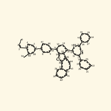 C/C=C\c1ccc(-c2ccc(-c3ccc(-c4cc(-c5ccccc5)nc(-c5ccccc5)n4)c4c3oc3c5ccccc5ccc34)cc2)cc1C